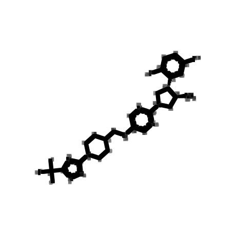 CC(C)(F)c1noc(N2CCC(COc3cnc(N4C[C@H](c5cc(F)ccc5F)[C@@H](N)C4)nc3)CC2)n1